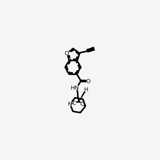 C#Cc1coc2ccc(C(=O)N[C@@H]3CC4CCN(CC4)C3)cc12